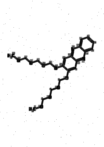 COCOCOCOc1cc2nc3ccccc3nc2cc1OCOCOCOC